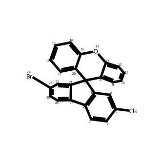 Clc1ccc2c(c1)C1(c3ccccc3Oc3ccccc31)c1cc(Br)ccc1-2